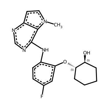 Cn1ccc2ncnc(Nc3ccc(F)cc3O[C@H]3CCCC[C@@H]3O)c21